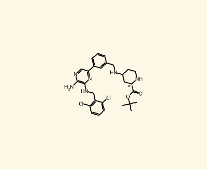 CC(C)(C)OC(=O)[C@H]1CC(NCc2cccc(-c3cnc(N)c(NCc4c(Cl)cccc4Cl)n3)c2)CCN1